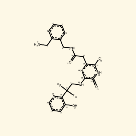 NCc1ccccc1CNC(=O)Cc1nc(NCC(F)(F)c2ncccc2O)c(=O)[nH]c1Cl